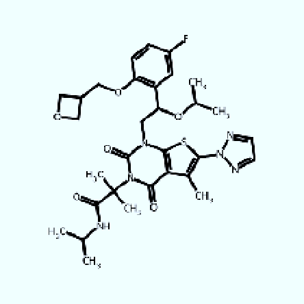 Cc1c(-n2nccn2)sc2c1c(=O)n(C(C)(C)C(=O)NC(C)C)c(=O)n2CC(OC(C)C)c1cc(F)ccc1OCC1COC1